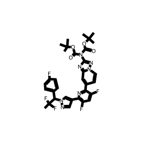 CC(C)(C)OC(=O)N(C(=O)OC(C)(C)C)c1nc2cc(-c3nc(-c4cnn(C(c5ccc(F)cc5)C(C)(F)F)c4)c(F)cc3F)ccn2n1